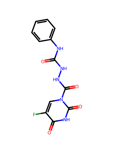 O=C(NNC(=O)n1cc(F)c(=O)[nH]c1=O)Nc1ccccc1